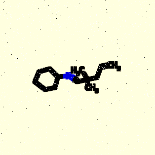 C=CCC(C)(C)C=NC1CCCCC1